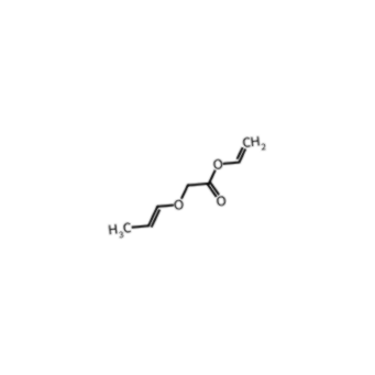 C=COC(=O)COC=CC